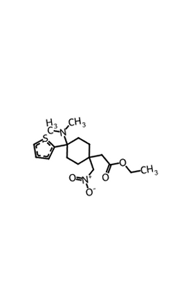 CCOC(=O)CC1(C[N+](=O)[O-])CCC(c2cccs2)(N(C)C)CC1